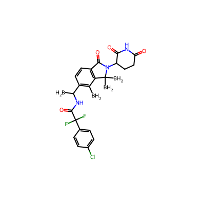 Bc1c(C(B)NC(=O)C(F)(F)c2ccc(Cl)cc2)ccc2c1C(B)(B)N(C1CCC(=O)NC1=O)C2=O